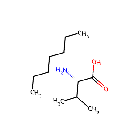 CC(C)[C@H](N)C(=O)O.CCCCCCC